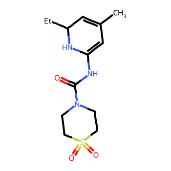 CCC1C=C(C)C=C(NC(=O)N2CCS(=O)(=O)CC2)N1